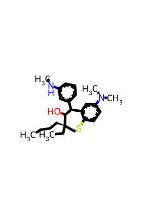 CCCC[C@]1(CC)CSc2ccc(N(C)C)cc2C(c2cccc(NC)c2)C1O